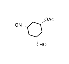 CC(=O)O[C@@H]1C[C@H](C=O)C[C@H](N=O)C1